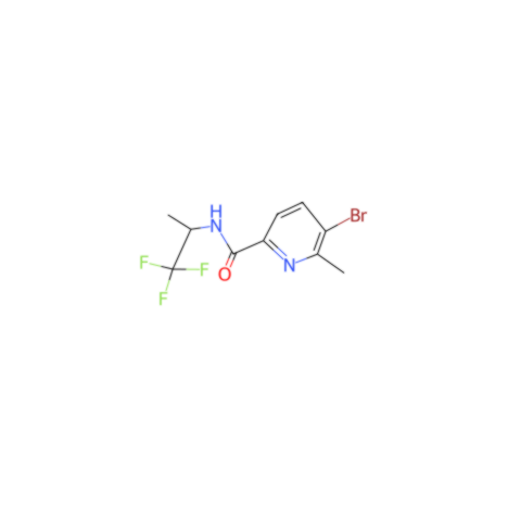 Cc1nc(C(=O)NC(C)C(F)(F)F)ccc1Br